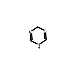 B1=CNC=NC1